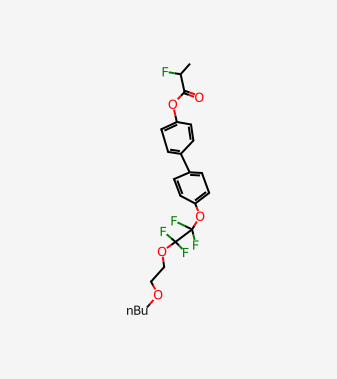 CCCCOCCOC(F)(F)C(F)(F)Oc1ccc(-c2ccc(OC(=O)C(C)F)cc2)cc1